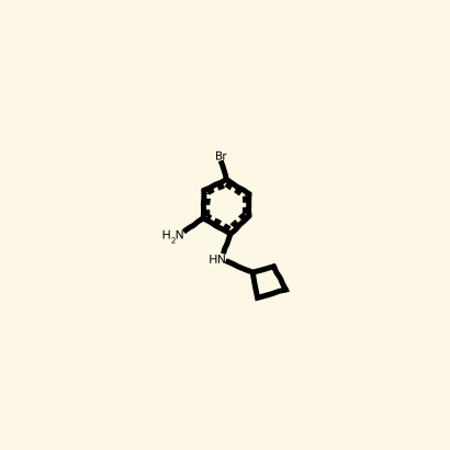 Nc1cc(Br)ccc1NC1CCC1